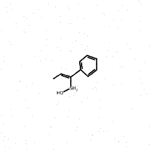 CC=C([SiH2]O)c1ccccc1